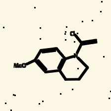 C=C(Cl)N1CCCc2cc(OC)ccc21